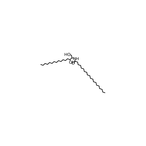 CCCCCCCCCCCCCCCCCCCC(=O)NC(CO)C(O)CCCCCCCCCCCCC